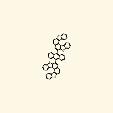 c1ccc2c(c1)oc1ccc3cc(-c4c5ccccc5c(-c5cc6ccc7sc8ccccc8c7c6c6c5sc5ccccc56)c5ccccc45)c4oc5ccccc5c4c3c12